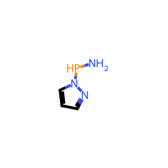 NPn1cccn1